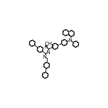 C=N/C(=N\C(=N/Cc1ccc(-c2ccccc2)cc1)c1ccc(-c2ccccc2)cc1)c1ccc(-c2ccc(N(c3ccccc3)c3cccc4ccccc34)cc2)cc1